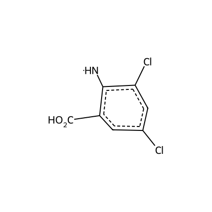 [NH]c1c(Cl)cc(Cl)cc1C(=O)O